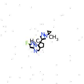 CC1(c2cnn(C3(C)CC3)c2)CCc2cnc3cc(F)nn3c21